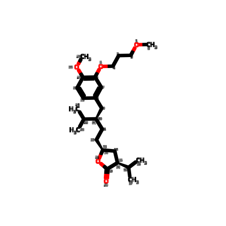 COCCCOc1cc(C[C@@H](CC[C@H]2C[C@@H](C(C)C)C(=O)O2)C(C)C)ccc1OC